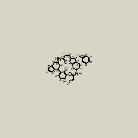 C=CC(=O)N[C@@H]1Cc2sc(/C=C\C(=O)N[C@H]3Cc4sccc4[C@H](c4ccccc4Cl)C3)cc2[C@H](c2ccccc2Cl)C1